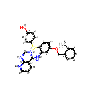 Cc1ccccc1COc1ccc(Sc2ccc(O)cc2)c(Nc2ncnc3ncccc23)c1